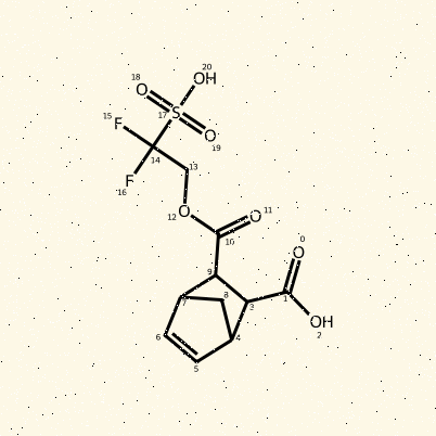 O=C(O)C1C2C=CC(C2)C1C(=O)OCC(F)(F)S(=O)(=O)O